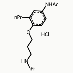 CCCc1cc(NC(C)=O)ccc1OCCCNC(C)C.Cl